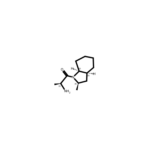 C[C@H](N)C(=O)N1[C@H](C)C[C@@H]2CCCC[C@@H]21